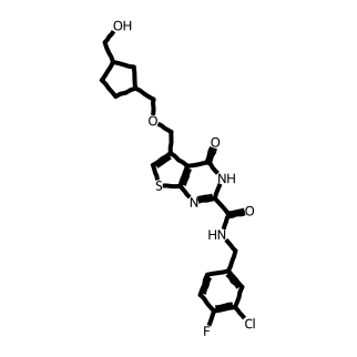 O=C(NCc1ccc(F)c(Cl)c1)c1nc2scc(COCC3CCC(CO)C3)c2c(=O)[nH]1